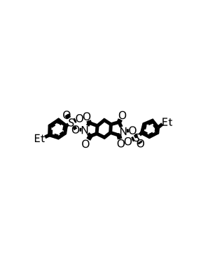 CCc1ccc(S(=O)(=O)ON2C(=O)C3CC4C(=O)N(OS(=O)(=O)c5ccc(CC)cc5)C(=O)C4CC3C2=O)cc1